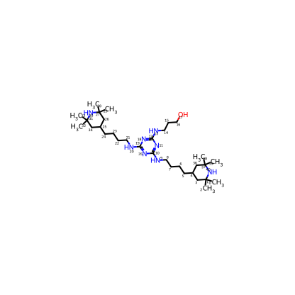 CC1(C)CC(CCCCNc2nc(NCCCO)nc(NCCCCC3CC(C)(C)NC(C)(C)C3)n2)CC(C)(C)N1